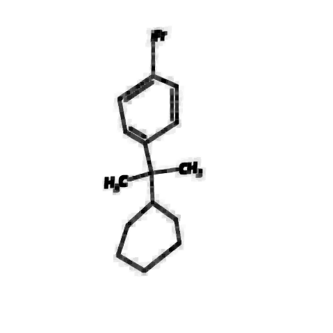 CC(C)c1ccc(C(C)(C)C2CCCCC2)cc1